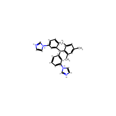 Cc1cc(C)c(B(c2cccc(-n3ccnc3)c2)c2cccc(-n3ccnc3)c2)c(C)c1